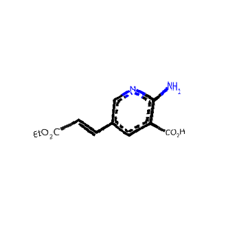 CCOC(=O)C=Cc1cnc(N)c(C(=O)O)c1